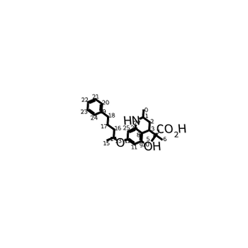 CC1CC(C(C)(C)C(=O)O)c2c(O)cc(OC(C)CCCc3ccccc3)cc2N1